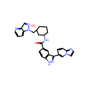 O=C(N[C@@H]1CCC[C@](O)(Cn2ncc3ncccc32)C1)c1ccc2[nH]nc(-c3ccc4nccn4c3)c2c1